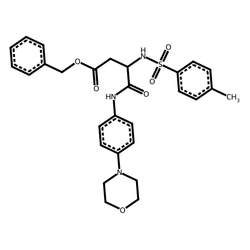 Cc1ccc(S(=O)(=O)NC(CC(=O)OCc2ccccc2)C(=O)Nc2ccc(N3CCOCC3)cc2)cc1